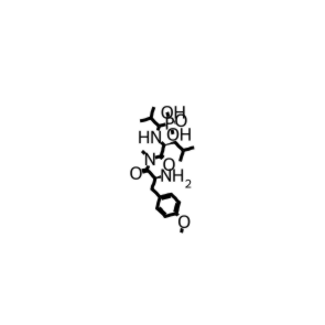 COc1ccc(C[C@H](N)C(=O)N(C)C(=O)[C@H](CC(C)C)NC(C(C)C)P(=O)(O)O)cc1